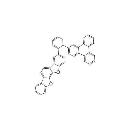 c1ccc(-c2ccc3c4ccccc4c4ccccc4c3c2)c(-c2ccc3oc4c(ccc5c6ccccc6oc54)c3c2)c1